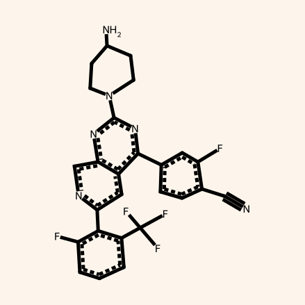 N#Cc1ccc(-c2nc(N3CCC(N)CC3)nc3cnc(-c4c(F)cccc4C(F)(F)F)cc23)cc1F